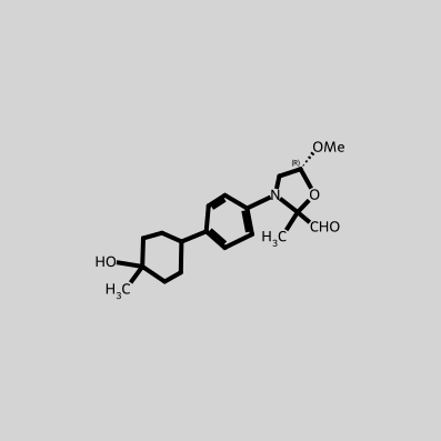 CO[C@H]1CN(c2ccc(C3CCC(C)(O)CC3)cc2)C(C)(C=O)O1